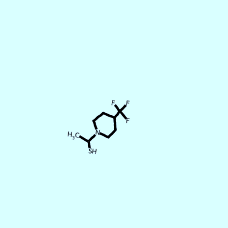 CC(S)N1CCC(C(F)(F)F)CC1